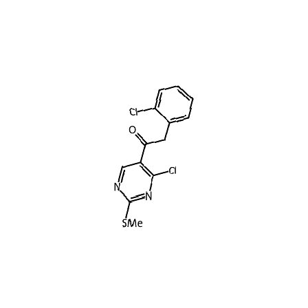 CSc1ncc(C(=O)Cc2ccccc2Cl)c(Cl)n1